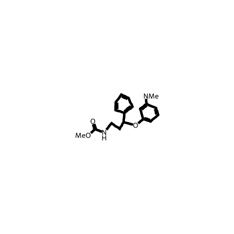 CNc1cccc(OC(CCNC(=O)OC)c2ccccc2)c1